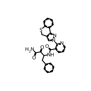 NC(=O)C(=O)C(Cc1ccccc1)NC(=O)c1cccnc1-n1cc2c(n1)-c1ccccc1SC2